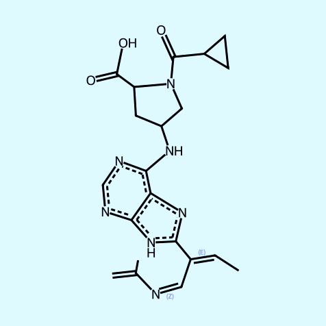 C=C(C)/N=C\C(=C/C)c1nc2c(NC3CC(C(=O)O)N(C(=O)C4CC4)C3)ncnc2[nH]1